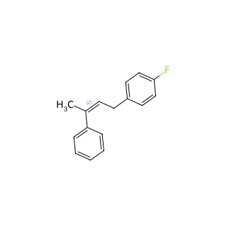 C/C(=C/Cc1ccc(F)cc1)c1ccccc1